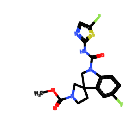 COC(=O)N1CCC2(C1)CN(C(=O)Nc1ncc(F)s1)c1ccc(F)cc12